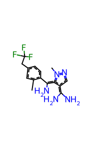 Cc1cc(CC(F)(F)F)ccc1/C(N)=c1/c(=C(N)N)cnn1C